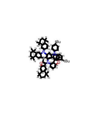 CC(C)(C)c1ccc(N(c2ccc(C(C)(C)C)cc2)c2cc3c4c(c2)N(c2cccc5oc6ccccc6c25)c2c(oc5cc6c(cc25)C(C)(C)CCC6(C)C)B4c2cc4c(cc2N3c2ccc3c(c2)C(C)(C)CCC3(C)C)C(C)(C)CCC4(C)C)cc1